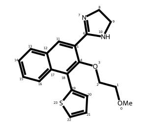 COCCOc1c(C2=NCCN2)cc2ccccc2c1-c1cccs1